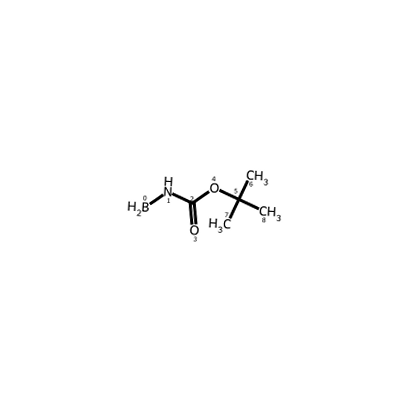 BNC(=O)OC(C)(C)C